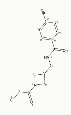 O=C(NCC1CN(C(=O)CCl)C1)c1ccc(Br)cc1